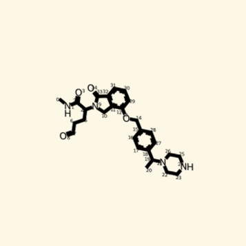 CNC(=O)C(CCC=O)N1Cc2c(OCc3ccc(C(C)N4CCNCC4)cc3)cccc2C1=O